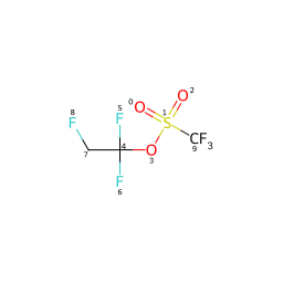 O=S(=O)(OC(F)(F)CF)C(F)(F)F